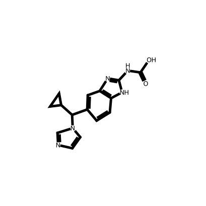 O=C(O)Nc1nc2cc(C(C3CC3)n3ccnc3)ccc2[nH]1